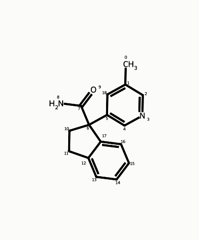 Cc1cncc(C2(C(N)=O)CCc3ccccc32)c1